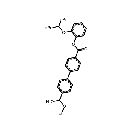 CCCCC(CCC)Oc1ccccc1OC(=O)c1ccc(-c2ccc(C(C)OCC)cc2)cc1